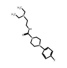 CCN(CC)CCNC(=O)N1CCN(c2ccc(F)cc2)CC1